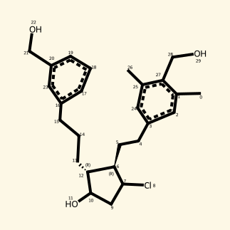 Cc1cc(CC[C@H]2C(Cl)CC(O)[C@@H]2CCCc2cccc(CO)c2)cc(C)c1CO